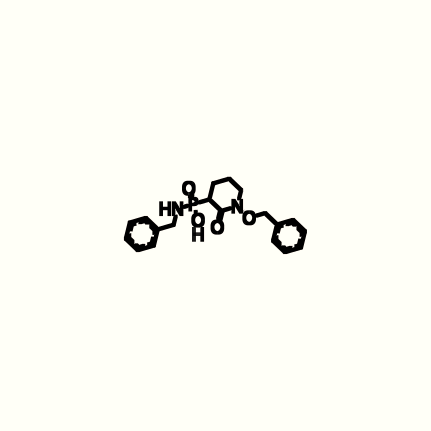 O=C1C(P(=O)(O)NCc2ccccc2)CCCN1OCc1ccccc1